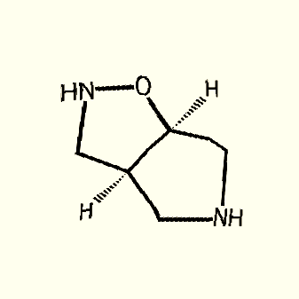 C1NC[C@@H]2ONC[C@H]12